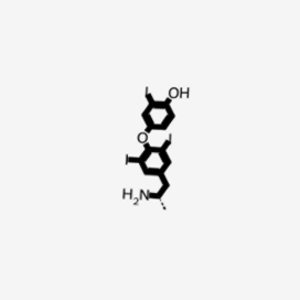 C[C@H](N)Cc1cc(I)c(Oc2ccc(O)c(I)c2)c(I)c1